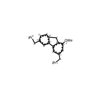 COc1cc(CC(C)C)cc2c1Cc1ccc(CC(C)C)cc1-2